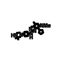 CNc1cc(C)c2cnc(Nc3ccc(N4CCNC(C)(C)C4)cc3)nc2c1C1CCCC1